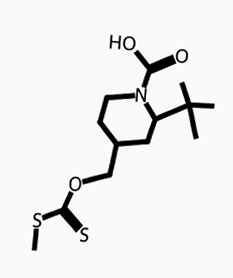 CSC(=S)OCC1CCN(C(=O)O)C(C(C)(C)C)C1